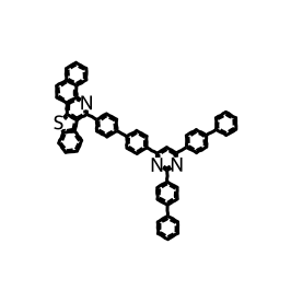 c1ccc(-c2ccc(-c3cc(-c4ccc(-c5ccc(-c6nc7c8ccccc8ccc7c7sc8ccccc8c67)cc5)cc4)nc(-c4ccc(-c5ccccc5)cc4)n3)cc2)cc1